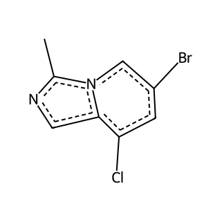 Cc1ncc2c(Cl)cc(Br)cn12